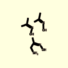 CC(C)=NO.CC(C)=NO.CC(C[SiH3])=NO